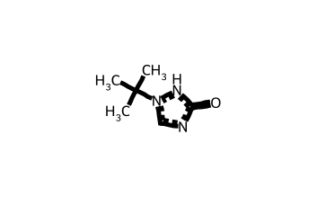 CC(C)(C)n1cnc(=O)[nH]1